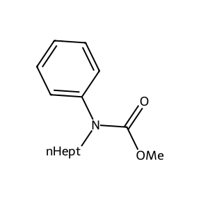 [CH2]OC(=O)N(CCCCCCC)c1ccccc1